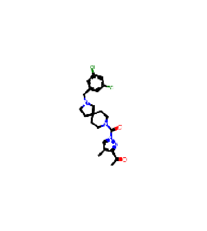 CC(=O)c1nn(C(=O)N2CCC3(CCN(Cc4cc(Cl)cc(Cl)c4)C3)CC2)cc1C